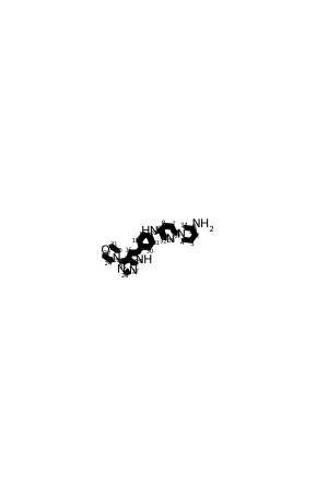 N[C@@H]1CCCN(c2ccc(Nc3ccc(-c4cc5c(N6CCOCC6)ncnc5[nH]4)cc3)cn2)C1